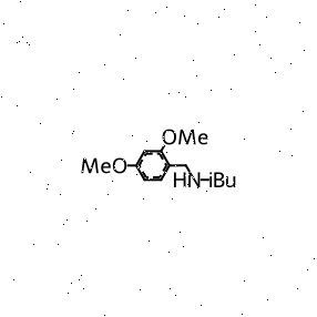 CCC(C)NCc1ccc(OC)cc1OC